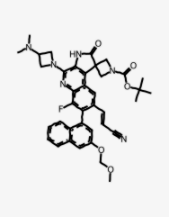 COCOc1cc(-c2c(/C=C/C#N)cc3c4c(c(N5CC(N(C)C)C5)nc3c2F)NC(=O)C42CN(C(=O)OC(C)(C)C)C2)c2ccccc2c1